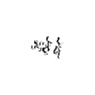 C=CC(C)[n+]1ccn(C)c1.C=CC(C)[n+]1ccn(C)c1.O=S(=O)([O-])[O-]